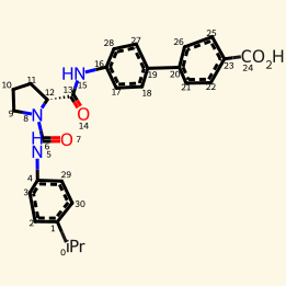 CC(C)c1ccc(NC(=O)N2CCC[C@@H]2C(=O)Nc2ccc(-c3ccc(C(=O)O)cc3)cc2)cc1